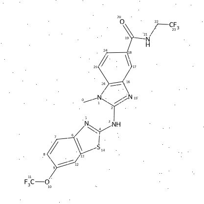 Cn1c(Nc2nc3ccc(OC(F)(F)F)cc3s2)nc2cc(C(=O)NCC(F)(F)F)ccc21